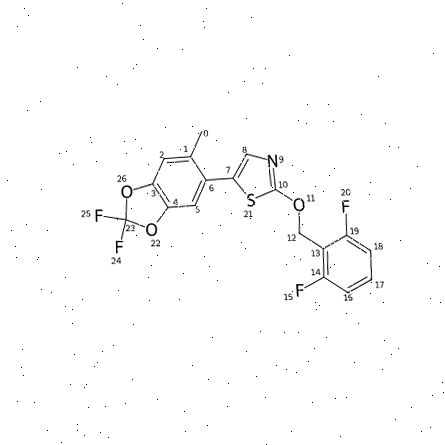 Cc1cc2c(cc1-c1cnc(OCc3c(F)cccc3F)s1)OC(F)(F)O2